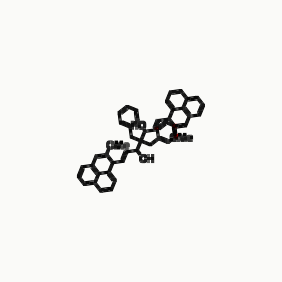 COC1=Cc2cccc3cccc(c23)C1/C=C/C(O)C(Cc1ccccc1)(Cc1ccccc1)C(O)/C=C/C1C(OC)=Cc2cccc3cccc1c23